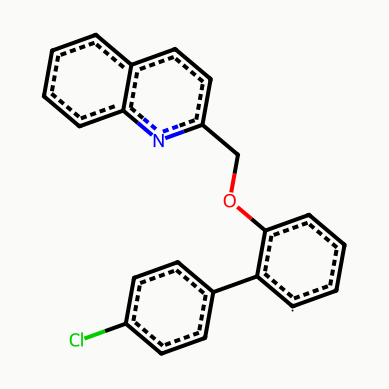 Clc1ccc(-c2[c]cccc2OCc2ccc3ccccc3n2)cc1